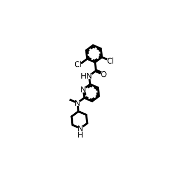 CN(c1cccc(NC(=O)c2c(Cl)cccc2Cl)n1)C1CCNCC1